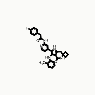 Cc1ccccc1Nc1c(-c2ccnc(NC(=O)Cc3ccc(F)cc3)c2)[nH]c2c1C(=O)NC1(CCC1)C2